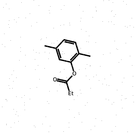 CCC(=O)Oc1cc(C)ccc1C